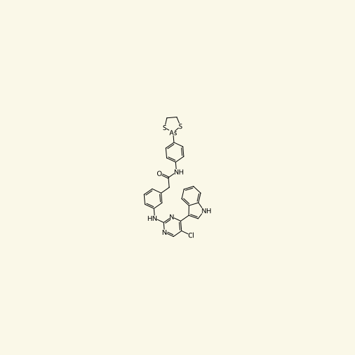 O=C(Cc1cccc(Nc2ncc(Cl)c(-c3c[nH]c4ccccc34)n2)c1)Nc1ccc([As]2SCCS2)cc1